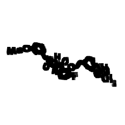 COc1cccc(CNC(=O)c2nc3ccc(F)c(OCCC4CCC(NS(C)(=O)=O)CC4)c3c(=O)[nH]2)c1